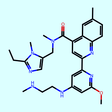 CCc1ncc(CN(C)C(=O)c2cc(-c3cc(NCCNC)cc(OC)n3)nc3ccc(C)cc23)n1C